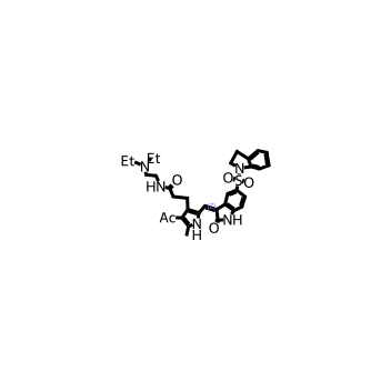 CCN(CC)CCNC(=O)CCc1c(/C=C2\C(=O)Nc3ccc(S(=O)(=O)N4CCc5ccccc54)cc32)[nH]c(C)c1C(C)=O